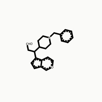 O=CCC(c1ccc2coccc1-2)C1CCN(Cc2ccccc2)CC1